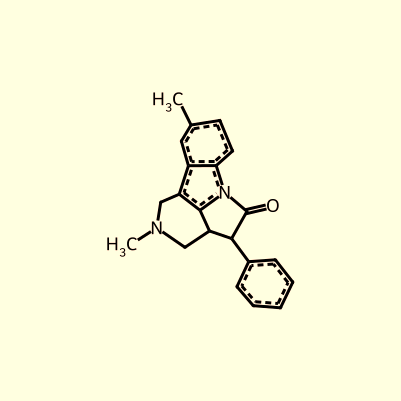 Cc1ccc2c(c1)c1c3n2C(=O)C(c2ccccc2)C3CN(C)C1